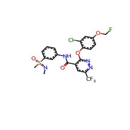 CN=S(C)(=O)c1cccc(NC(=O)c2cc(C(F)(F)F)nnc2Oc2ccc(OCF)cc2Cl)c1